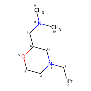 CC(C)CN1CCOC(CN(C)C)C1